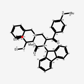 CCOC(CN(Cc1ccccc1)CC(C(=O)c1ccc(OC(C)(C)C)cc1)N(C(=O)OC)C1c2ccccc2-c2ccccc21)OCC